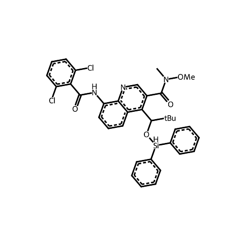 CON(C)C(=O)c1cnc2c(NC(=O)c3c(Cl)cccc3Cl)cccc2c1C(O[SiH](c1ccccc1)c1ccccc1)C(C)(C)C